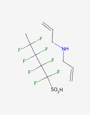 C=CCNCC=C.CC(F)(F)C(F)(F)C(F)(F)C(F)(F)S(=O)(=O)O